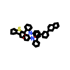 c1cc(-c2ccc(N(c3ccccc3-c3cccc4c3sc3ccccc34)c3ccccc3-n3c4ccccc4c4ccccc43)cc2)cc(-c2ccc3ccccc3c2)c1